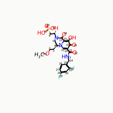 COCC[C@H]1CN(CCP(=O)(O)O)C(=O)c2c(O)c(=O)c(C(=O)NCc3ccc(F)cc3F)cn21